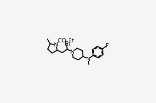 CCOC(=O)N1C(C)CCC1CC(CC)N1CCC(N(C)c2ccc(F)cc2)CC1